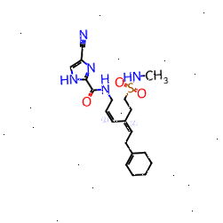 CNS(=O)(=O)CCC(/C=C\CNC(=O)c1nc(C#N)c[nH]1)=C/CC1=CCCCC1